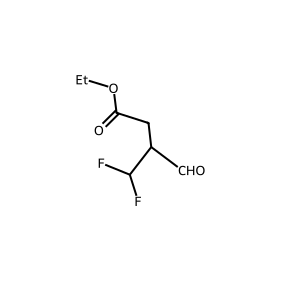 CCOC(=O)CC(C=O)C(F)F